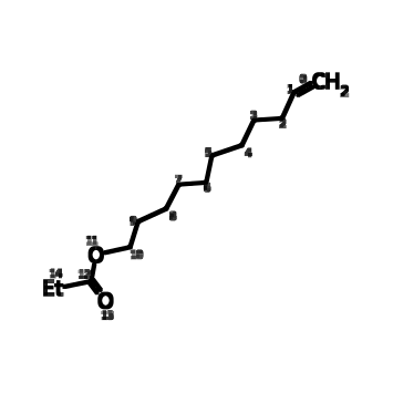 C=CCCCCCCCCCOC(=O)CC